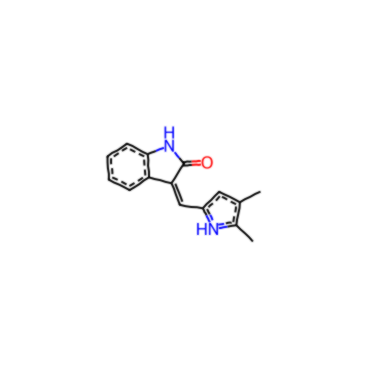 Cc1cc(C=C2C(=O)Nc3ccccc32)[nH]c1C